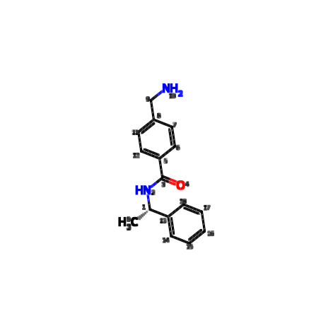 C[C@H](NC(=O)c1ccc(CN)cc1)c1ccccc1